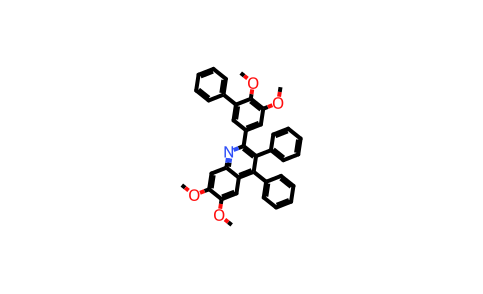 COc1cc2nc(-c3cc(OC)c(OC)c(-c4ccccc4)c3)c(-c3ccccc3)c(-c3ccccc3)c2cc1OC